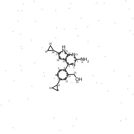 Nc1nc(-c2ccc([C]3CC3)cc2CO)c2cc(C3CC3)[nH]c2n1